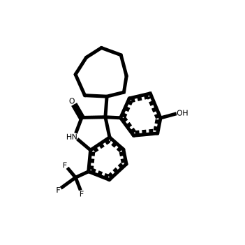 O=C1Nc2c(C(F)(F)F)cccc2C1(c1ccc(O)cc1)C1CCCCCCC1